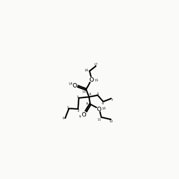 CCCCC(CCC)(C(=O)OCC)C(=O)OCC